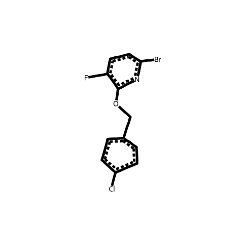 Fc1ccc(Br)nc1OCc1ccc(Cl)cc1